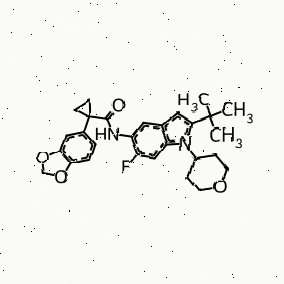 CC(C)(C)c1cc2cc(NC(=O)C3(c4ccc5c(c4)OCO5)CC3)c(F)cc2n1C1CCOCC1